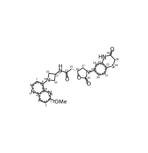 COc1ccc2nccc(N3CC(NC(=O)C[C@@H]4CN(c5ccc6c(c5)NC(=O)CS6)C(=O)O4)C3)c2n1